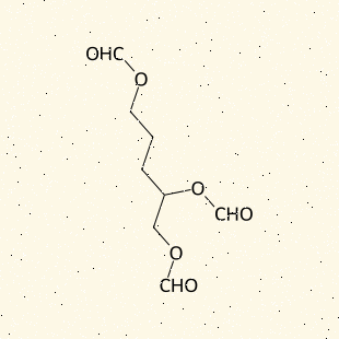 O=COCCCC(COC=O)OC=O